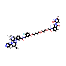 CCC1C(c2ccncc2)NC(C2(Nc3cccc(C(=O)NCc4cc(OCCCCCOCCCOCC(=O)Nc5cccc6c5CN(C5CCC(=O)NC5=O)C6=O)ccc4F)c3)CCN(C)CC2)=CC[C@H]1C